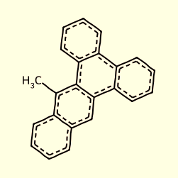 Cc1c2ccccc2cc2c3ccccc3c3ccccc3c12